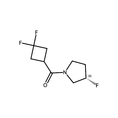 O=C(C1CC(F)(F)C1)N1CC[C@H](F)C1